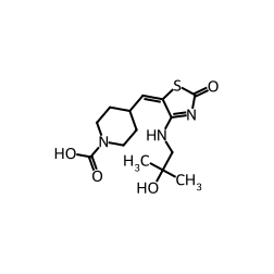 CC(C)(O)CNC1=NC(=O)SC1=CC1CCN(C(=O)O)CC1